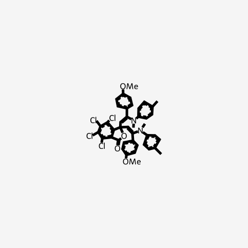 COc1ccc(C(=CC2(C=C(c3ccc(OC)cc3)N(C)c3ccc(C)cc3)OC(=O)c3c(Cl)c(Cl)c(Cl)c(Cl)c32)N(C)c2ccc(C)cc2)cc1